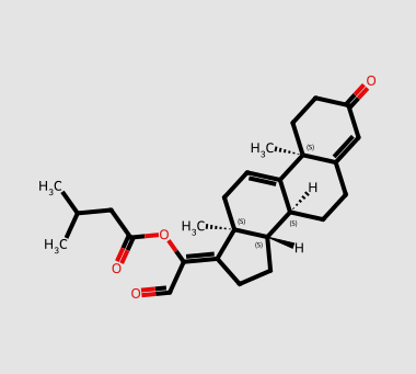 CC(C)CC(=O)OC(C=O)=C1CC[C@H]2[C@@H]3CCC4=CC(=O)CC[C@]4(C)C3=CC[C@]12C